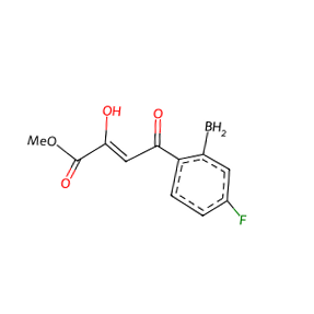 Bc1cc(F)ccc1C(=O)/C=C(\O)C(=O)OC